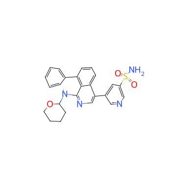 CN(c1ncc(-c2cncc(S(N)(=O)=O)c2)c2cccc(-c3ccccc3)c12)C1CCCCO1